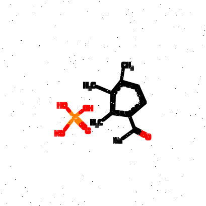 Cc1ccc([C](=O)[Na])c(C)c1C.O=P(O)(O)O